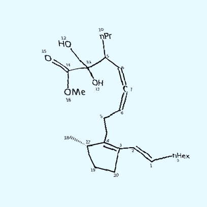 CCCCCC/C=C/C1=C(CC=C=CC(CCC)C(O)(O)C(=O)OC)[C@@H](C)CC1